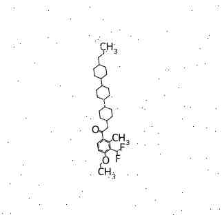 CCCC1CCC(C2CCC(C3CCC(CC(=O)c4ccc(OCC)c(C(F)F)c4C)CC3)CC2)CC1